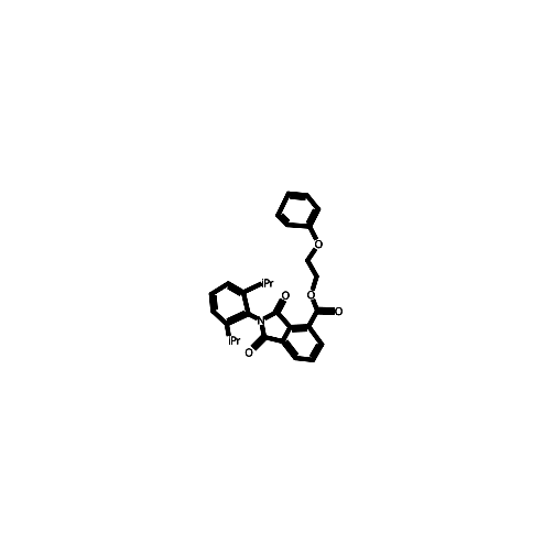 CC(C)c1cccc(C(C)C)c1N1C(=O)c2cccc(C(=O)OCCOc3ccccc3)c2C1=O